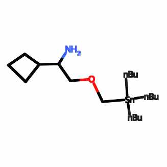 CCC[CH2][Sn]([CH2]CCC)([CH2]CCC)[CH2]OCC(N)C1CCC1